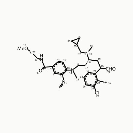 C=Nc1cc(C(=O)NCCOC)ccc1N(C)CC[C@@H](CC(C=O)c1cccc(Cl)c1F)N(C)CC1CC1